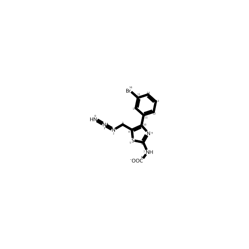 N=[N+]=NCc1sc(NC(=O)[O-])nc1-c1cccc(Br)c1